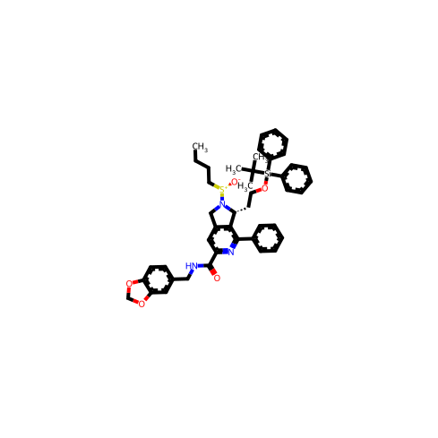 CCCC[S@@+]([O-])N1Cc2cc(C(=O)NCc3ccc4c(c3)OCO4)nc(-c3ccccc3)c2[C@H]1CCO[Si](c1ccccc1)(c1ccccc1)C(C)(C)C